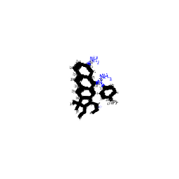 C=CC1=C(/C=C\C)c2cc3c(N(N)c4ccc(C(C)C)cc4)c4cc(N)ccc4cc3cc2C1(C)C